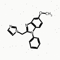 COc1ccc2c(c1)nc(Cn1ccnc1)n2-c1ccccc1